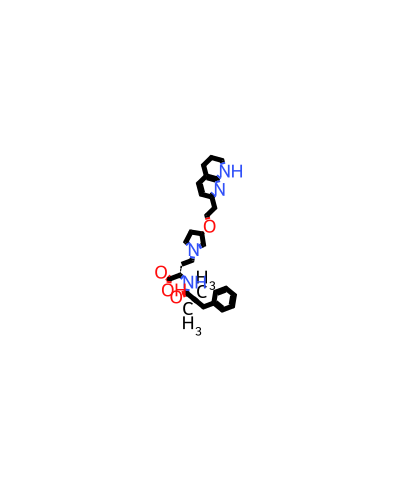 CC(C)(Cc1ccccc1)C(=O)N[C@@H](CCN1CC[C@@H](OCCc2ccc3c(n2)NCCC3)C1)C(=O)O